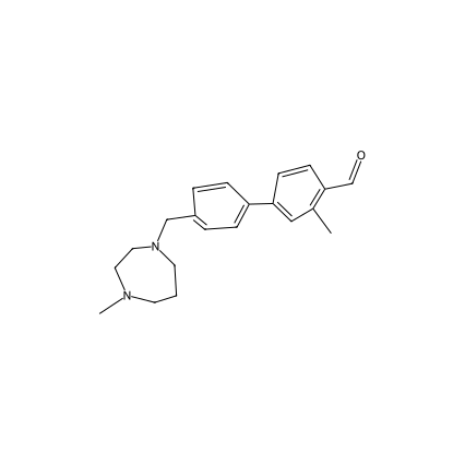 Cc1cc(-c2ccc(CN3CCCN(C)CC3)cc2)ccc1C=O